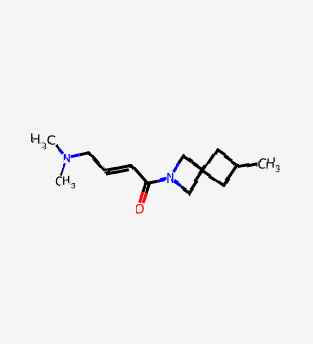 CC1CC2(C1)CN(C(=O)/C=C/CN(C)C)C2